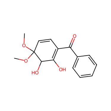 COC1(OC)C=CC(C(=O)c2ccccc2)=C(O)C1O